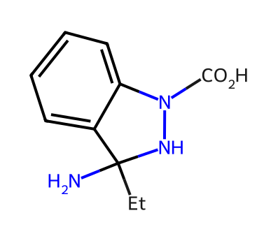 CCC1(N)NN(C(=O)O)c2ccccc21